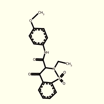 CCN1C(C(=O)Nc2ccc(OC)cc2)C(=O)c2ccccc2S1(=O)=O